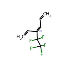 C=C/C=C(\C=C)C(F)(F)C(F)(F)F